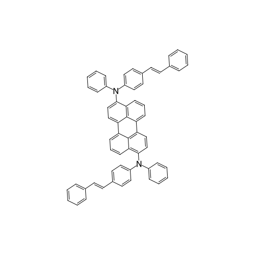 C(=Cc1ccc(N(c2ccccc2)c2ccc3c4cccc5c(N(c6ccccc6)c6ccc(C=Cc7ccccc7)cc6)ccc(c6cccc2c63)c54)cc1)c1ccccc1